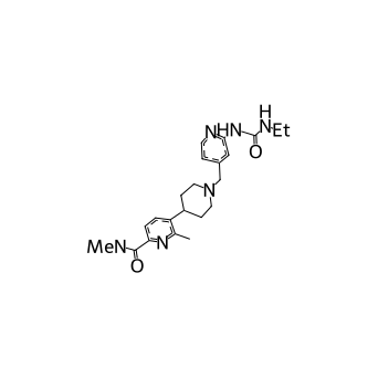 CCNC(=O)Nc1cc(CN2CCC(c3ccc(C(=O)NC)nc3C)CC2)ccn1